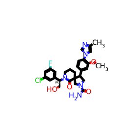 COc1cc(C2CN(C(N)=O)CC23CCCN([C@@H](CO)c2cc(F)cc(Cl)c2)C3=O)ccc1-n1cnc(C)c1